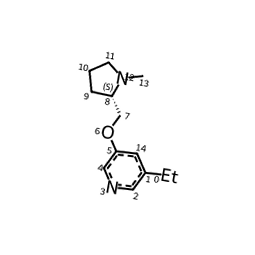 CCc1cncc(OC[C@@H]2CCCN2C)c1